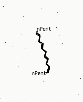 CCCCCC=CCC=CCC=CC/C=C\CCCCC